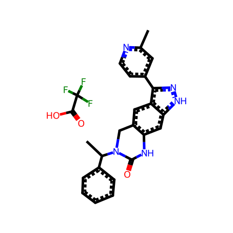 Cc1cc(-c2n[nH]c3cc4c(cc23)CN(C(C)c2ccccc2)C(=O)N4)ccn1.O=C(O)C(F)(F)F